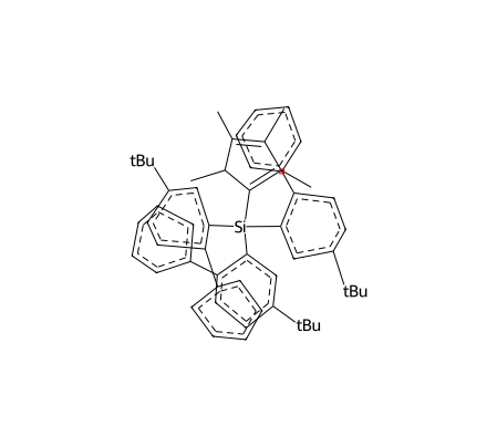 CC1=C(C)C(C)C([Si](c2cc(C(C)(C)C)ccc2-c2ccccc2)(c2cc(C(C)(C)C)ccc2-c2ccccc2)c2cc(C(C)(C)C)ccc2-c2ccccc2)=C1C